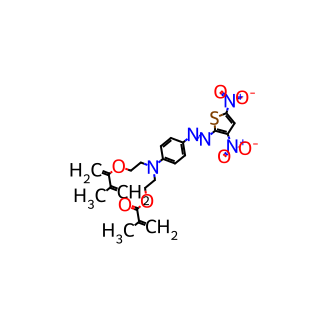 C=C(C)C(=C)OCCN(CCOC(=O)C(=C)C)c1ccc(/N=N/c2sc([N+](=O)[O-])cc2[N+](=O)[O-])cc1